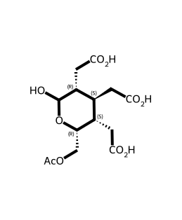 CC(=O)OC[C@@H]1OC(O)[C@H](CC(=O)O)[C@@H](CC(=O)O)[C@@H]1CC(=O)O